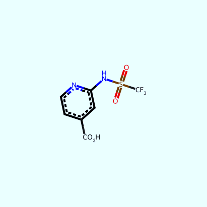 O=C(O)c1ccnc(NS(=O)(=O)C(F)(F)F)c1